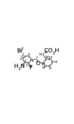 Nc1cc(Br)cc(COc2ccccc2CC(=O)O)c1F